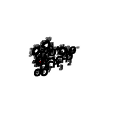 C=CCC1C(C2(C)COC(=O)O2)C(=O)N1C(C(=O)OCc1ccc([N+](=O)[O-])cc1)=P(c1ccccc1)(c1ccccc1)c1ccccc1